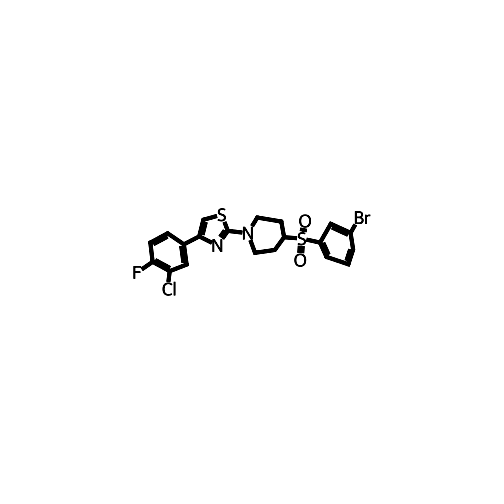 O=S(=O)(c1cccc(Br)c1)C1CCN(c2nc(-c3ccc(F)c(Cl)c3)cs2)CC1